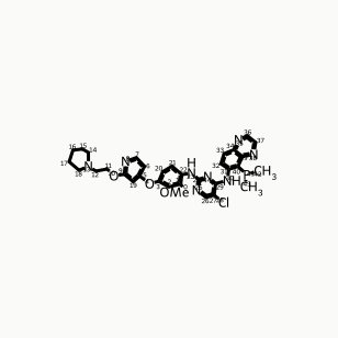 COc1cc(Oc2ccnc(OCCN3CCCCC3)c2)ccc1Nc1ncc(Cl)c(Nc2ccc3nccnc3c2P(C)C)n1